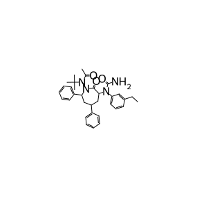 CCc1cccc(N(C(N)=O)C2CC(c3ccccc3)CC(c3ccccc3)N(N(C(C)=O)C(C)(C)C)C2=O)c1